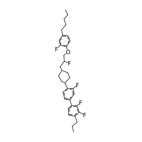 CCCCCc1ccc(OCC(F)CC2CCC(c3ccc(-c4ccc(CCC)c(F)c4F)cc3F)CC2)c(F)c1